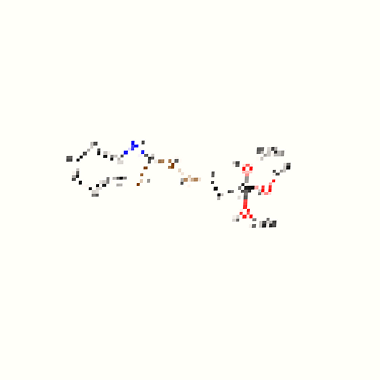 CCC(C)O[Si](CCSSc1nc2ccccc2s1)(OC(C)CC)OC(C)CC